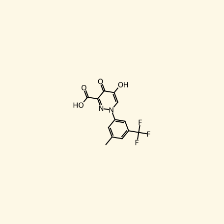 Cc1cc(-n2cc(O)c(=O)c(C(=O)O)n2)cc(C(F)(F)F)c1